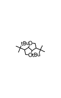 CC(C)(C)C(C)(C)C1COC2C1OCC2C(C)(C)C(C)(C)C